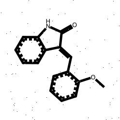 COc1ccccc1/C=C1/C(=O)Nc2ccccc21